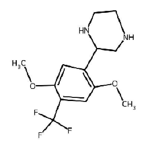 COc1cc(C(F)(F)F)c(OC)cc1C1CNCCN1